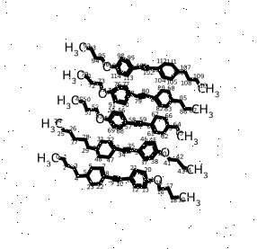 CCCCCC1CC=C(C#Cc2ccc(OCCCC)cc2)CC1.CCCCCCC1CC=C(C#Cc2ccc(OCCCC)cc2)CC1.CCCCOc1ccc(C#CC2=CCC(CC)CC2)cc1.CCCCOc1ccc(C#CC2=CCC(CCC)CC2)cc1.CCCCOc1ccc(C#CC2=CCC(CCCC)CC2)cc1